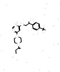 CCC(=O)N1CCN(c2cc(NCC(O)c3ccc(C(F)(F)F)cc3)ncn2)CC1